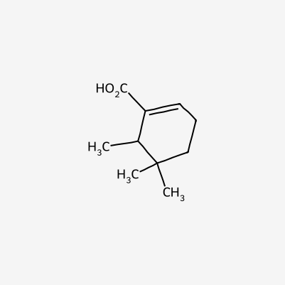 CC1C(C(=O)O)=CCCC1(C)C